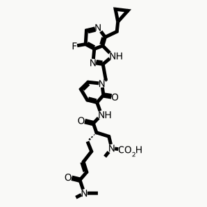 CN(C)C(=O)/C=C/CC[C@@H](CN(C)C(=O)O)C(=O)Nc1cccn(Cc2nc3c(F)cnc(CC4CC4)c3[nH]2)c1=O